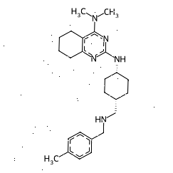 Cc1ccc(CNC[C@H]2CC[C@@H](Nc3nc4c(c(N(C)C)n3)CCCC4)CC2)cc1